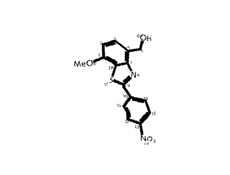 COc1ccc(CO)c2nc(-c3ccc([N+](=O)[O-])cc3)sc12